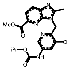 COC(=O)c1ccc2nc(C)n(Cc3ncc(NC(=O)OC(C)C)cc3Cl)c2n1